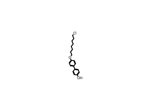 Oc1ccc(-c2ccc(OCCCCCCCCCl)cc2)cc1